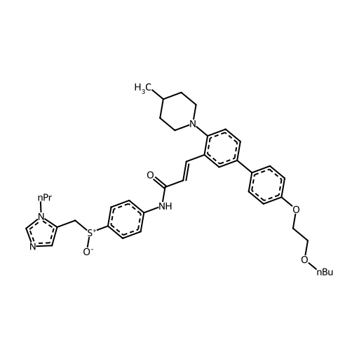 CCCCOCCOc1ccc(-c2ccc(N3CCC(C)CC3)c(/C=C/C(=O)Nc3ccc([S+]([O-])Cc4cncn4CCC)cc3)c2)cc1